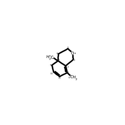 CC1=C2COCCC2(C)CC=C1